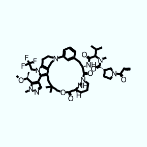 C=CC(=O)N1CC[C@H](C(=O)N(C)C(C(=O)N[C@H]2Cc3cccc(c3)N3CCc4c(c(c(-c5cnn(C)c5[C@H](C)OC)n4CC(F)(F)F)CC(C)(C)COC(=O)[C@@H]4CCCN(N4)C2=O)C3)C(C)C)C1